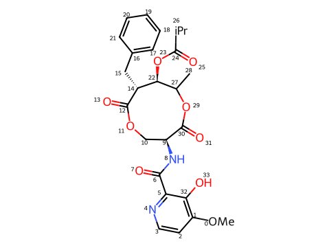 COc1ccnc(C(=O)N[C@H]2COC(=O)[C@H](Cc3ccccc3)[C@@H](OC(=O)C(C)C)C(C)OC2=O)c1O